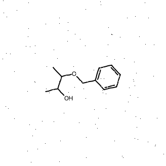 CC(O)C(C)OCc1ccccc1